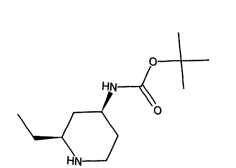 CC[C@H]1C[C@@H](NC(=O)OC(C)(C)C)CCN1